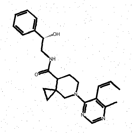 C/C=C\c1c(C)ncnc1N1CCC(C(=O)NC[C@@H](O)c2ccccc2)C2(CC2)C1